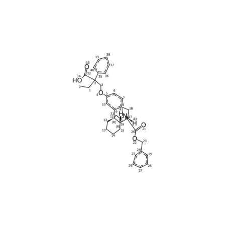 CCC(COc1ccc2c(c1)[C@@]13CCCC[C@H]1[C@@H](C2)N(C(=O)OCc1ccccc1)CC3)(C(=O)O)c1ccccc1